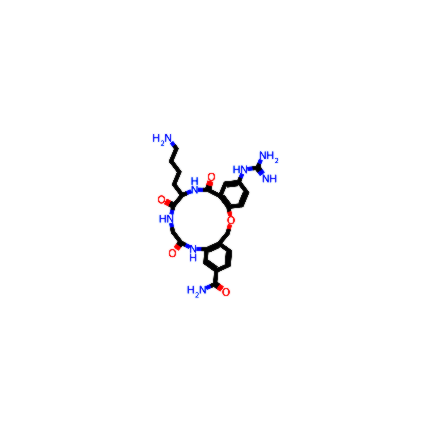 N=C(N)Nc1ccc2c(c1)C(=O)NC(CCCCN)C(=O)NCC(=O)Nc1cc(C(N)=O)ccc1CO2